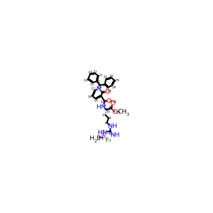 BP(F)NC(=N)NCCC[C@H](NC(=O)c1cccn(C(c2ccccc2)c2ccccc2)c1=O)C(=O)OC